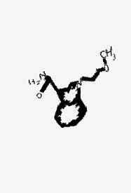 COCCn1cc(C(N)=O)c2c[c]ccc21